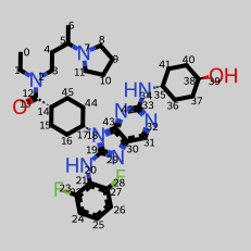 CCN(CCC(C)N1CCCC1)C(=O)[C@H]1CC[C@@H](n2c(Nc3c(F)cccc3F)nc3cnc(N[C@H]4CC[C@H](O)CC4)nc32)CC1